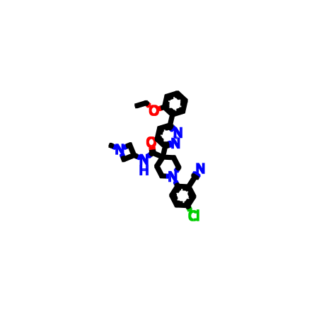 CCOc1ccccc1-c1ccc(C2(C(=O)NC3CN(C)C3)CCN(c3ccc(Cl)cc3C#N)CC2)nn1